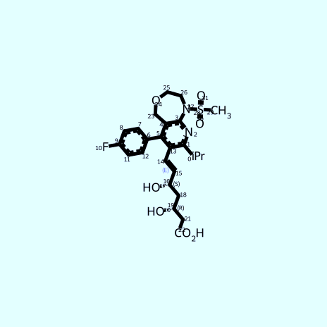 CC(C)c1nc2c(c(-c3ccc(F)cc3)c1/C=C/[C@@H](O)C[C@@H](O)CC(=O)O)COCCN2S(C)(=O)=O